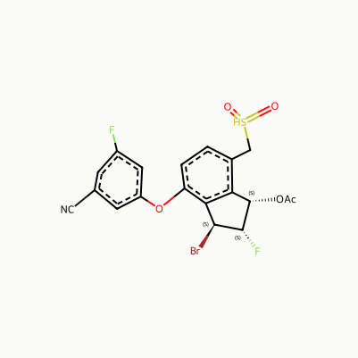 CC(=O)O[C@H]1c2c(C[SH](=O)=O)ccc(Oc3cc(F)cc(C#N)c3)c2[C@H](Br)[C@H]1F